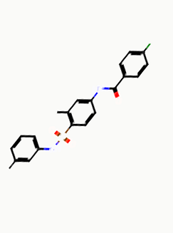 Cc1cc(NC(=O)c2ccc(F)cc2)ccc1S(=O)(=O)Nc1cccc(C(F)(F)F)c1